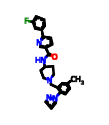 Cc1ccc(-n2cccn2)c(CN2CCC(NC(=O)c3ccc(-c4cccc(F)c4)nc3)CC2)c1